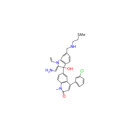 C=CN(C)/C(=C\N)C(O)(c1ccc(CNCCSC)cc1)c1ccc2c(c1)c(-c1cccc(Cl)c1)cc(=O)n2C